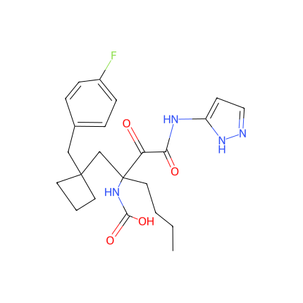 CCCCC(CC1(Cc2ccc(F)cc2)CCC1)(NC(=O)O)C(=O)C(=O)Nc1ccn[nH]1